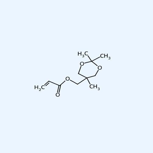 C=CC(=O)OCC1(C)COC(C)(C)OC1